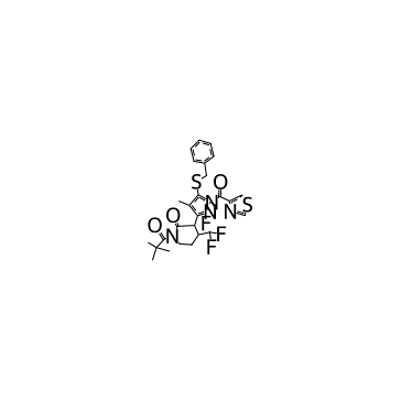 Cc1c(C2C(=O)N(C(=O)C(C)(C)C)CCC2C(F)(F)F)nn(C(=O)c2cscn2)c1SCc1ccccc1